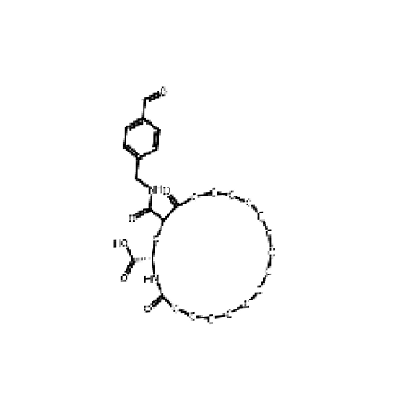 O=[C]c1ccc(CNC(=O)C2C[C@@H](C(=O)O)NC(=O)CCCCCCCCCCCCCCC2=O)cc1